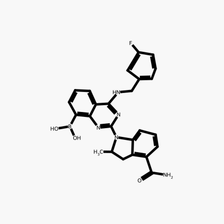 CC1Cc2c(C(N)=O)cccc2N1c1nc(NCc2cccc(F)c2)c2cccc(B(O)O)c2n1